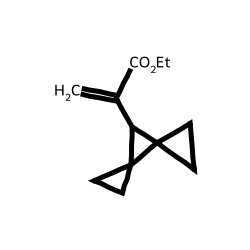 C=C(C(=O)OCC)C1C2(CC2)C12CC2